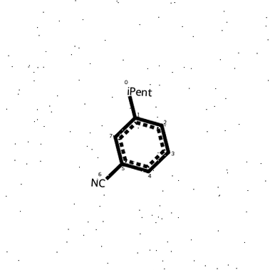 CCCC(C)c1[c]ccc(C#N)c1